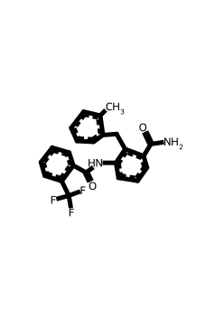 Cc1ccccc1Cc1c(NC(=O)c2ccccc2C(F)(F)F)cccc1C(N)=O